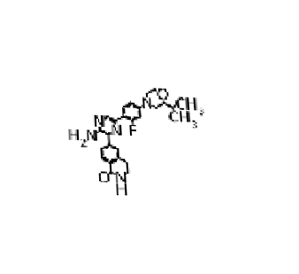 CC(C)C1CN(c2ccc(-c3cnc(N)c(-c4ccc5c(c4)CCNC5=O)n3)c(F)c2)CCO1